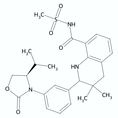 CC(C)[C@@H]1COC(=O)N1c1cccc(C2Nc3c(cccc3C(=O)NS(C)(=O)=O)CC2(C)C)c1